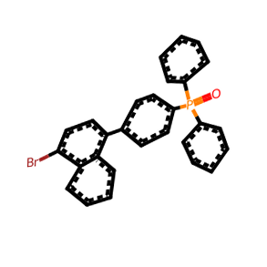 O=P(c1ccccc1)(c1ccccc1)c1ccc(-c2ccc(Br)c3ccccc23)cc1